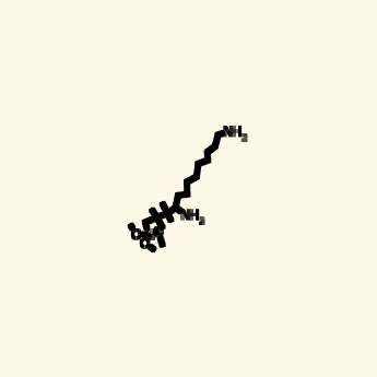 CO[Si](CC(C)(C)C(C)(C)C(N)CCCCCCCCCN)(OC)OC